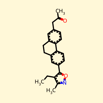 CCc1c(C)noc1-c1ccc2c(c1)CCc1cc(CC(C)=O)ccc1-2